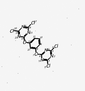 Clc1nc(Cl)nc(Oc2cccc(Oc3nc(Cl)nc(Cl)n3)c2)n1